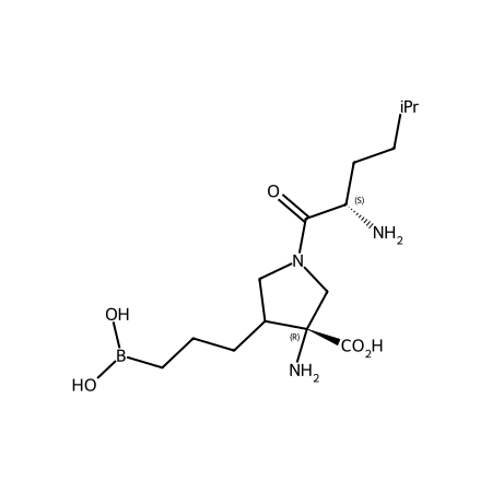 CC(C)CC[C@H](N)C(=O)N1CC(CCCB(O)O)[C@](N)(C(=O)O)C1